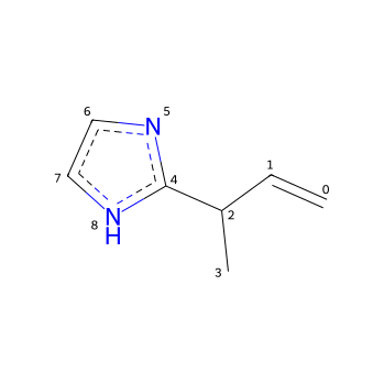 C=CC(C)c1ncc[nH]1